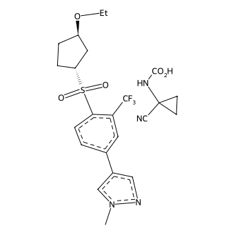 CCO[C@@H]1CC[C@@H](S(=O)(=O)c2ccc(-c3cnn(C)c3)cc2C(F)(F)F)C1.N#CC1(NC(=O)O)CC1